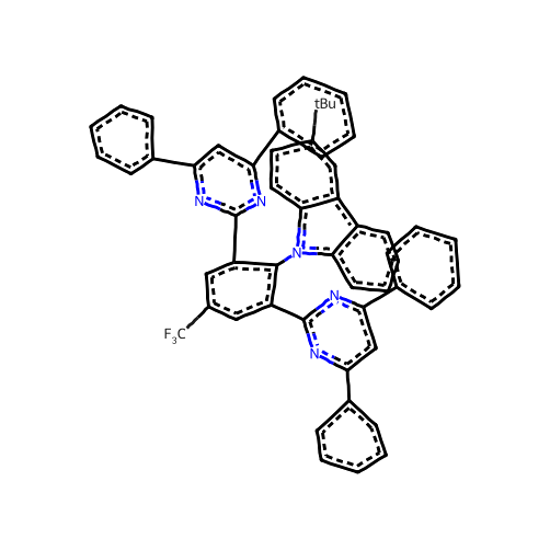 CC(C)(C)c1ccc2c(c1)c1ccccc1n2-c1c(-c2nc(-c3ccccc3)cc(-c3ccccc3)n2)cc(C(F)(F)F)cc1-c1nc(-c2ccccc2)cc(-c2ccccc2)n1